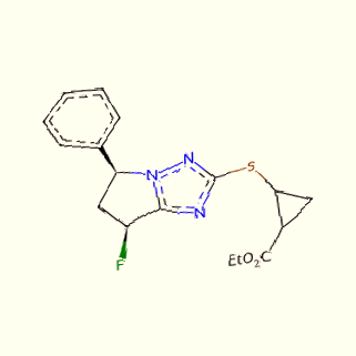 CCOC(=O)C1CC1Sc1nc2n(n1)[C@H](c1ccccc1)C[C@@H]2F